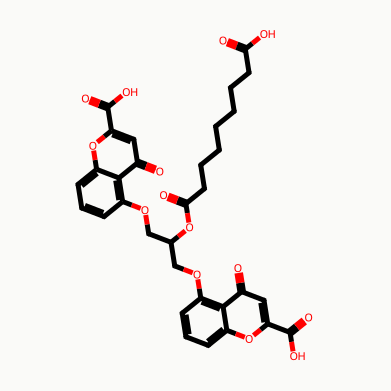 O=C(O)CCCCCCCC(=O)OC(COc1cccc2oc(C(=O)O)cc(=O)c12)COc1cccc2oc(C(=O)O)cc(=O)c12